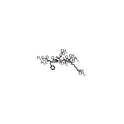 CNCCCCCC(=O)N[C@H](C(=O)N(C)[C@H](C[C@@H](OC(C)=O)c1nc(C(=O)N[C@@H](Cc2ccccc2)C[C@H](C)C(=O)OC)cs1)C(C)C)C(C)C